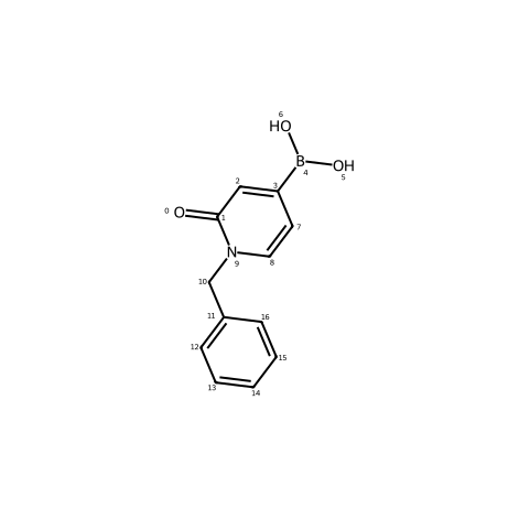 O=c1cc(B(O)O)ccn1Cc1ccccc1